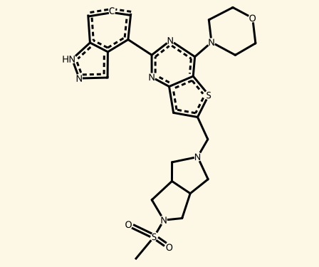 CS(=O)(=O)N1CC2CN(Cc3cc4nc(-c5cccc6[nH]ncc56)nc(N5CCOCC5)c4s3)CC2C1